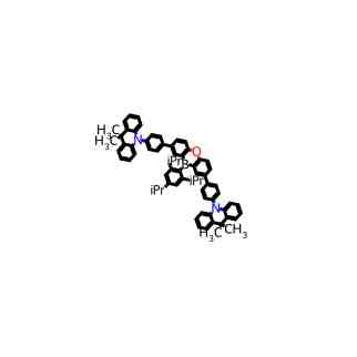 CC(C)c1cc(C(C)C)c(B2c3cc(-c4ccc(N5c6ccccc6C(C)(C)c6ccccc65)cc4)ccc3Oc3ccc(-c4ccc(N5c6ccccc6C(C)(C)c6ccccc65)cc4)cc32)c(C(C)C)c1